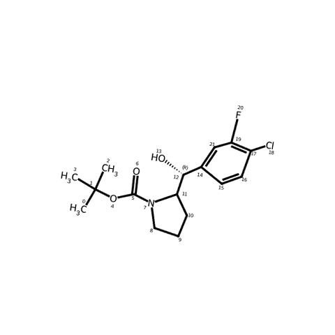 CC(C)(C)OC(=O)N1CCCC1[C@H](O)c1ccc(Cl)c(F)c1